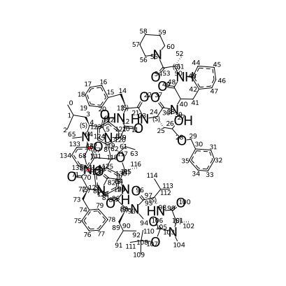 CC(C)C[C@@H](C(=O)N(C)[C@H](C(=O)N[C@@H](Cc1ccccc1)C(=O)N[C@@H](CC(O)OCc1ccccc1)C(=O)N(C)C(Cc1ccccc1)C(=O)N[C@@H](C)C(=O)N1CCCCC1)C(C)C)N(C)C(=O)CNC(=O)[C@H](Cc1ccccc1)N(C)C(=O)[C@@H](NC(=O)[C@H](CC(C)C)N(C)C(=O)[C@@H](NC(=O)[C@H](C)N(C)C(=O)OC(C)(C)C)C(C)C)[C@@H](C)OC(c1ccccc1)(c1ccccc1)c1ccccc1